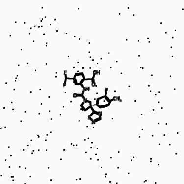 Cc1ccc([C@]2(c3ncns3)CCN(C(=O)Nc3cc(C(F)F)ccc3C(=O)O)C2)cc1F